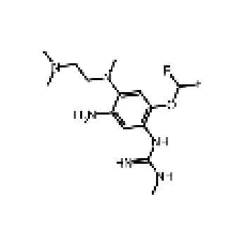 CNC(=N)Nc1cc(N)c(N(C)CCN(C)C)cc1OC(F)F